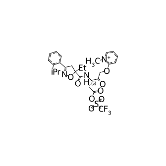 CCC1(C(=O)N[C@@H](CC(=O)OS(=O)(=O)C(F)(F)F)C(=O)COc2cccc[n+]2C)CC(c2ccccc2C(C)C)=NO1